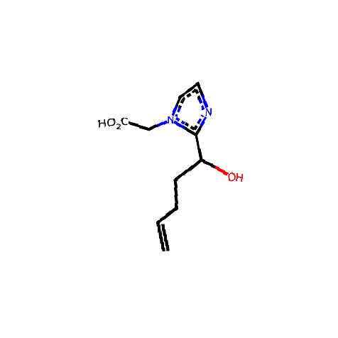 C=CCCC(O)c1nccn1CC(=O)O